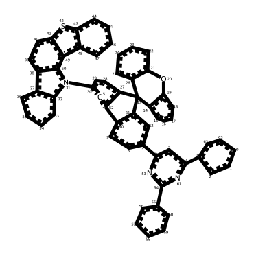 c1ccc(-c2cc(-c3ccc4c(c3)C3(c5ccccc5Oc5ccccc53)c3ccc(-n5c6ccccc6c6ccc7sc8ccccc8c7c65)cc3-4)nc(-c3ccccc3)n2)cc1